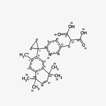 Cc1cc2c(cc1C1(c3ccc(CC(C(=O)O)C(=O)O)cn3)CC1)C(C)(C)C=CC2(C)C